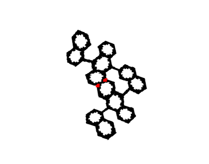 c1ccc2c(-c3c4ccccc4c(-c4ccc5cccc(-c6c7ccccc7c(-c7cccc8ccccc78)c7ccccc67)c5c4)c4ccccc34)cccc2c1